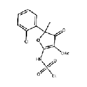 CCS(=O)(=O)NC1=C(OC(C)=O)C(=O)C(C)(c2ccccc2Cl)O1